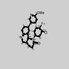 COc1ccc(-c2ccc3ncc4ccc(=O)n(-c5ccc(F)c(Cl)c5)c4c3c2)cn1